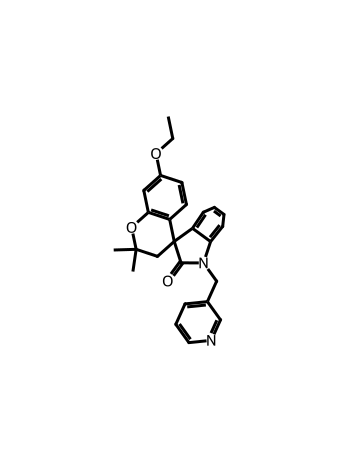 CCOc1ccc2c(c1)OC(C)(C)CC21C(=O)N(Cc2cccnc2)c2ccccc21